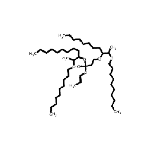 CCCCCCCCCCOC(C)C(CCCCCCCC)OCCC([O])(OCCC)OC(CCCCCCCCC)C(C)OCCCCCCCCCC